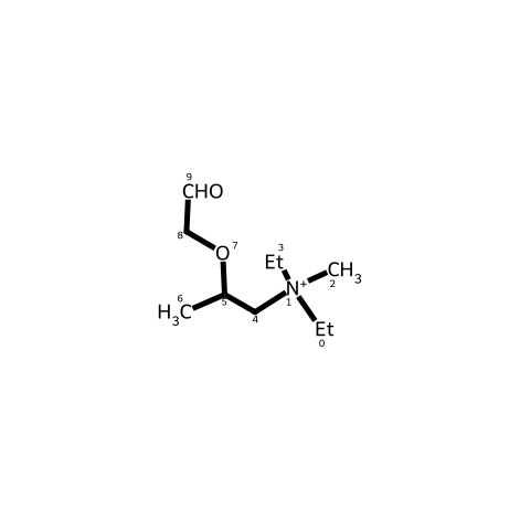 CC[N+](C)(CC)CC(C)OCC=O